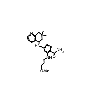 COCCCNc1cc(NC2CC(C)(C)Cc3ncccc32)ccc1C(N)=O